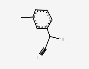 Cc1cccc(C(N)C#N)c1